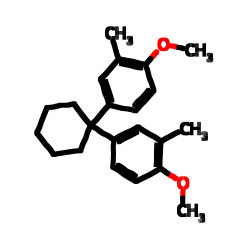 COc1ccc(C2(c3ccc(OC)c(C)c3)CCCCC2)cc1C